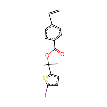 C=Cc1ccc(C(=O)OC(C)(C)c2ccc(I)s2)cc1